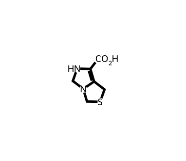 O=C(O)C1=C2CSCN2CN1